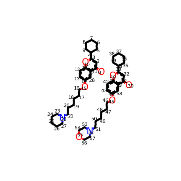 O=c1cc(C2CCCCC2)oc2ccc(OCCCCCCN3CCCCC3)cc12.O=c1cc(C2CCCCC2)oc2ccc(OCCCCCCN3CCOCC3)cc12